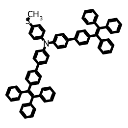 CSc1ccc(N(c2ccc(-c3ccc(C(=C(c4ccccc4)c4ccccc4)c4ccccc4)cc3)cc2)c2ccc(-c3ccc(C(=C(c4ccccc4)c4ccccc4)c4ccccc4)cc3)cc2)cc1